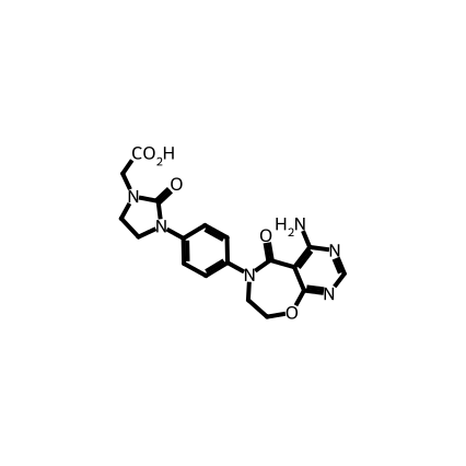 Nc1ncnc2c1C(=O)N(c1ccc(N3CCN(CC(=O)O)C3=O)cc1)CCO2